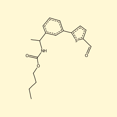 CCCCOC(=O)NC(C)c1cccc(-c2ccc(C=O)s2)c1